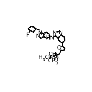 CC(C)(C)[S+]([O-])N=Cc1ccc(-c2ccc3ncnc(Nc4ccc5c(cnn5Cc5cccc(F)c5)c4)c3c2)o1